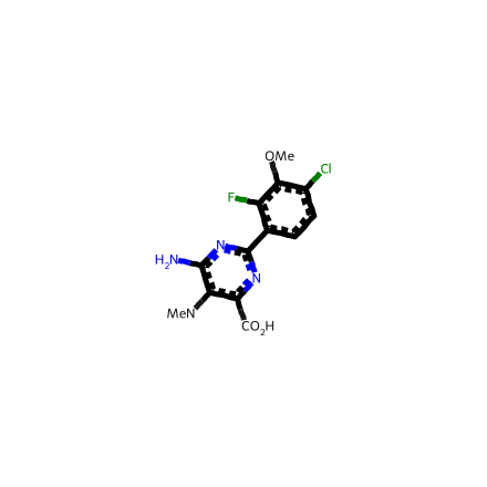 CNc1c(N)nc(-c2ccc(Cl)c(OC)c2F)nc1C(=O)O